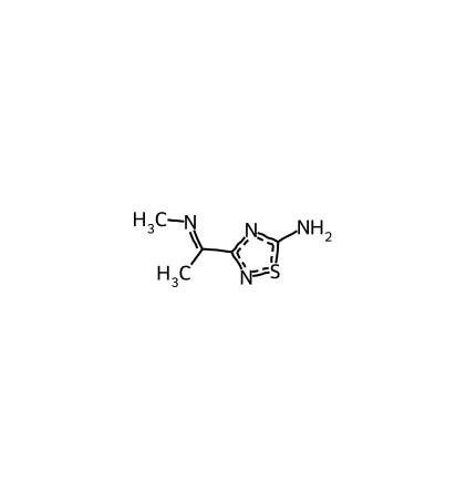 C/N=C(\C)c1nsc(N)n1